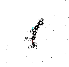 CCc1cc(-c2ccc(-c3ccc(C4CCC(C)CC4)cc3F)c(CC)c2)ccc1OCCC(CC)(CC)CC